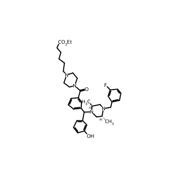 CCOC(=O)CCCCCN1CCN(C(=O)c2cccc(C(c3cccc(O)c3)N3C[C@@H](C)N(Cc4cccc(F)c4)C[C@@H]3C)c2)CC1